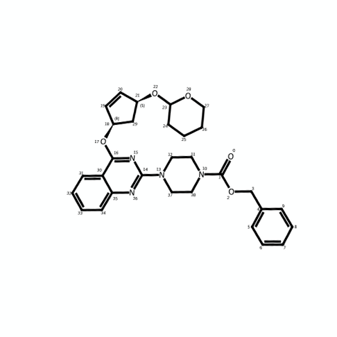 O=C(OCc1ccccc1)N1CCN(c2nc(O[C@H]3C=C[C@@H](OC4CCCCO4)C3)c3ccccc3n2)CC1